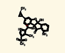 Cc1c(S(C)(=O)=O)c[nH]c1C(=O)N[C@]12C(=O)c3c(N)cccc3[C@@]1(O)Oc1cc([C@H]3C[C@@H]3C)ccc12